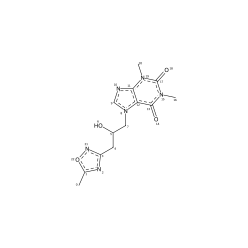 Cc1nc(CC(O)Cn2cnc3c2c(=O)n(C)c(=O)n3C)no1